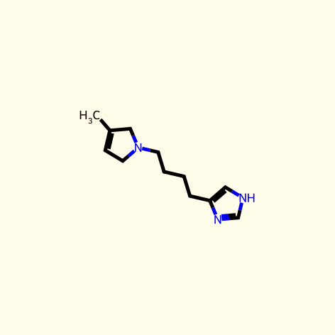 CC1=CCN(CCCCc2c[nH]cn2)C1